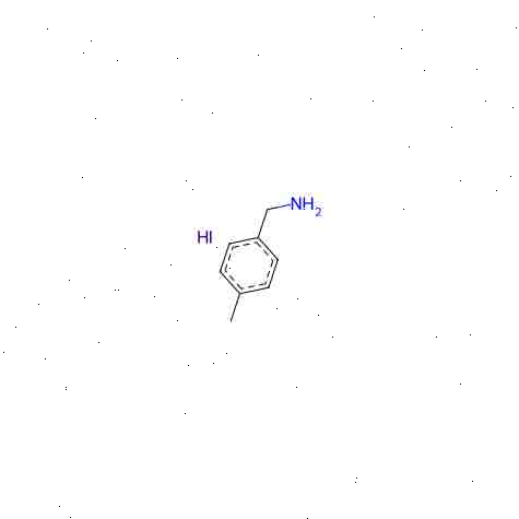 Cc1ccc(CN)cc1.I